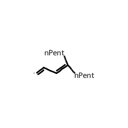 [CH]=CC=C(CCCCC)CCCCC